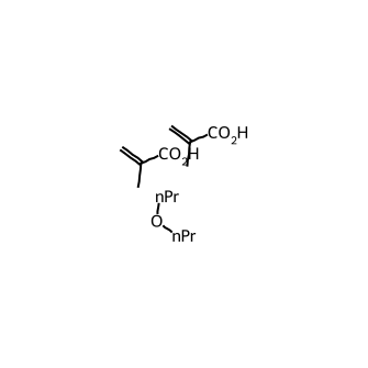 C=C(C)C(=O)O.C=C(C)C(=O)O.CCCOCCC